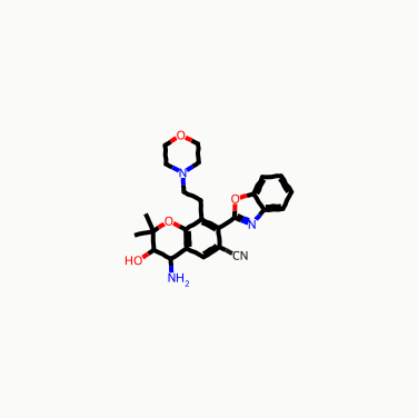 CC1(C)Oc2c(cc(C#N)c(-c3nc4ccccc4o3)c2CCN2CCOCC2)C(N)C1O